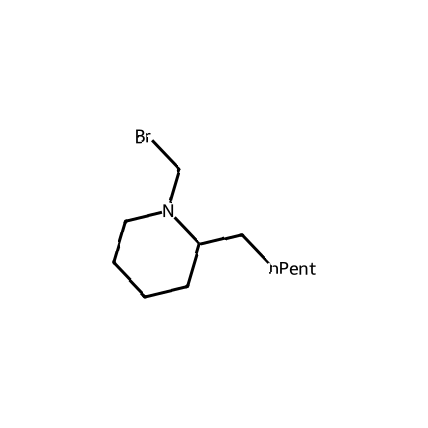 CCCCCCC1CCCCN1CBr